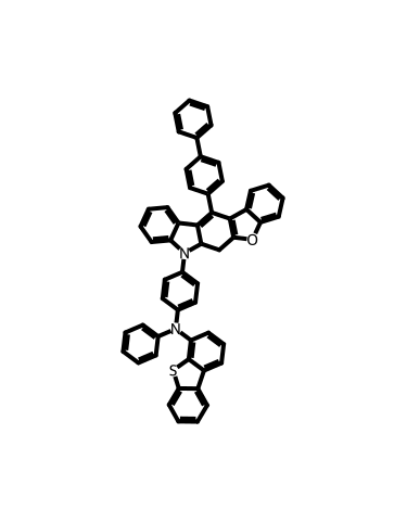 c1ccc(-c2ccc(C3=C4c5ccccc5N(c5ccc(N(c6ccccc6)c6cccc7c6sc6ccccc67)cc5)C4Cc4oc5ccccc5c43)cc2)cc1